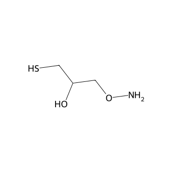 NOCC(O)CS